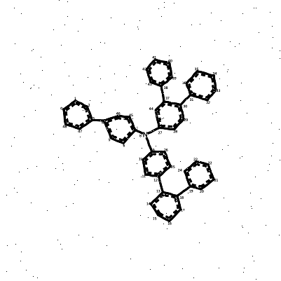 c1ccc(-c2ccc(N(c3ccc(-c4ccccc4-c4ccccc4)cc3)c3ccc(-c4ccccc4)c(-c4ccccc4)c3)cc2)cc1